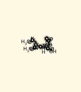 COc1cncc(CN(CCc2ccc(NC(=O)c3ccc(C(=O)O)cc3NC(=O)c3cc(=O)c4ccccc4o3)cc2)Cc2cncc(OC)c2)c1